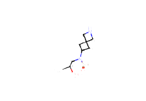 O=[SH]N(CC(O)C(F)(F)F)C1CC2(CNC2)C1